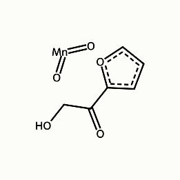 O=C(CO)c1ccco1.[O]=[Mn]=[O]